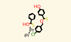 CC(C)C.CC(C)C.OC(=S)c1ccccc1.Oc1ccc(C(=S)OCc2ccc(Cl)cc2)cc1